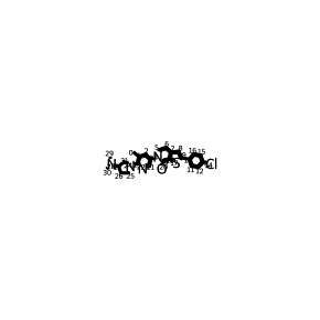 Cc1cc(-n2ccc3cc(-c4ccc(Cl)cc4)sc3c2=O)cnc1N1CCC(N(C)C)C1